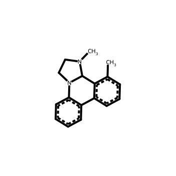 Cc1cccc2c1C1N(C)CCN1c1ccccc1-2